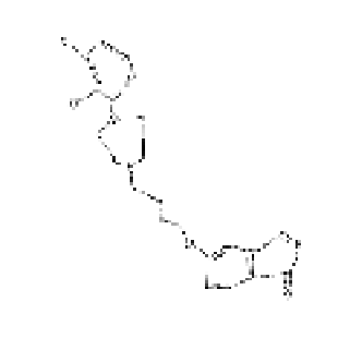 O=C1N=Cc2cc(OCCCCN3CCN(c4cccc(Cl)c4Cl)CC3)ccc21